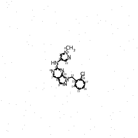 Cn1cc(Nc2ncc3cnn(Cc4ccccc4Cl)c3n2)cn1